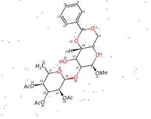 CO[C@@H]1OC2COC(c3ccccc3)O[C@H]2C(O)C1O[C@@H]1OC(C)[C@H](OC(C)=O)C(OC(C)=O)[C@@H]1OC(C)=O